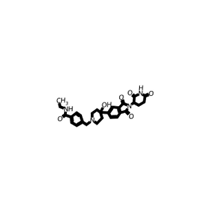 CCNC(=O)c1ccc(CN2CCC(O)(c3ccc4c(c3)C(=O)N(C3CCC(=O)NC3=O)C4=O)CC2)cc1